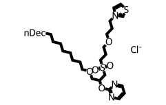 CCCCCCCCCCCCCCCCCCOCC(CS(=O)(=O)CCCOCCC[n+]1ccsc1)Oc1ncccn1.[Cl-]